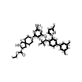 CCOC(=O)[C@@H]1CC2(CCN(c3cc(O[C@H](c4ccc(-c5cc(C)cc(C)c5)cc4-n4ccc(C)n4)C(F)(F)F)nc(N)n3)CC2)CN1